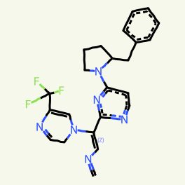 C=N/C=C(/c1nccc(N2CCCC2Cc2ccccc2)n1)N1C=C(C(F)(F)F)N=CC1